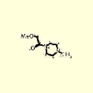 COCC(=O)N1CCN(C)CC1